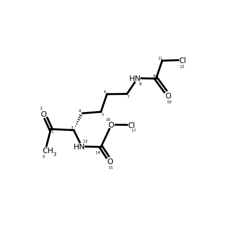 CC(=O)[C@H](CCCCNC(=O)CCl)NC(=O)OCl